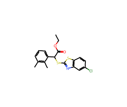 CCOC(=O)C(Sc1nc2cc(Cl)ccc2s1)c1cccc(C)c1C